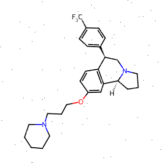 FC(F)(F)c1ccc([C@H]2CN3CCC[C@H]3c3cc(OCCCN4CCCCC4)ccc32)cc1